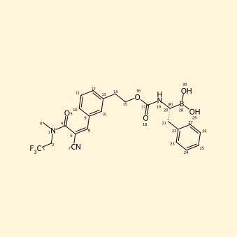 CN(CC(F)(F)F)C(=O)C(C#N)=Cc1cccc(CCOC(=O)N[C@@H](Cc2ccccc2)B(O)O)c1